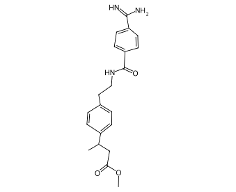 COC(=O)CC(C)c1ccc(CCNC(=O)c2ccc(C(=N)N)cc2)cc1